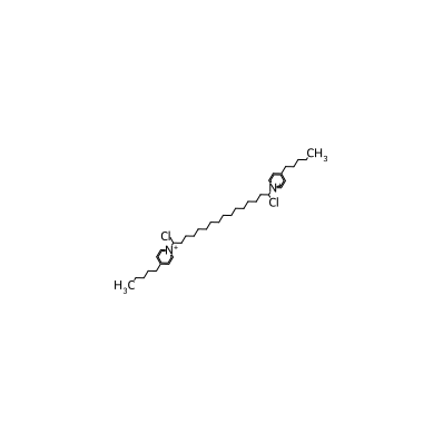 CCCCCc1cc[n+](C(Cl)CCCCCCCCCCCCCCC(Cl)[n+]2ccc(CCCCC)cc2)cc1